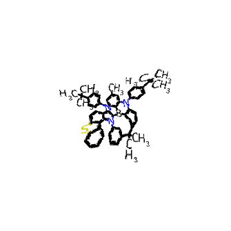 Cc1cc2c3c(c1)N(c1ccc(C(C)(C)C)cc1)c1c4n(c5c1ccc1sc6ccccc6c15)-c1cccc(c1)C(C)(C)c1ccc(c(c1)B34)N2c1ccc(C(C)(C)C)cc1